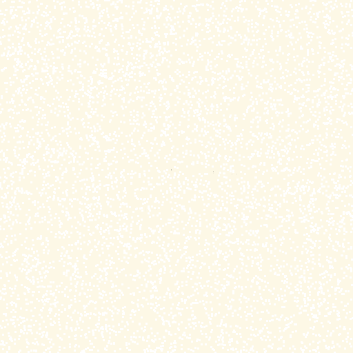 O=C(O)c1cc(=O)c2ccccc2n1C=CF